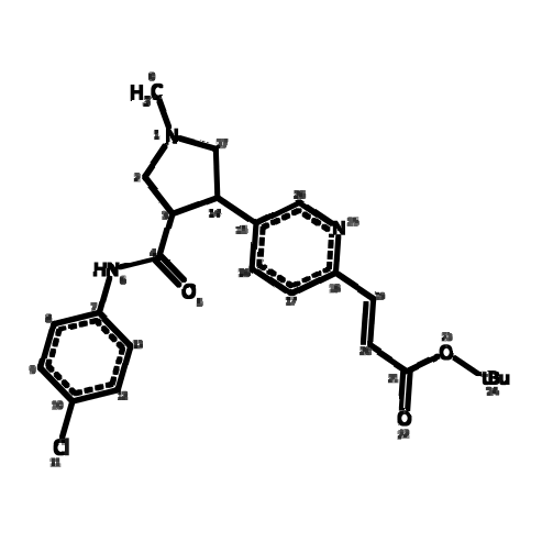 CN1CC(C(=O)Nc2ccc(Cl)cc2)C(c2ccc(C=CC(=O)OC(C)(C)C)nc2)C1